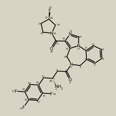 N[C@@H](CC(=O)N1Cc2ccccc2-n2cnc(C(=O)N3CC[C@@H](F)C3)c2C1)Cc1cc(F)c(F)cc1F